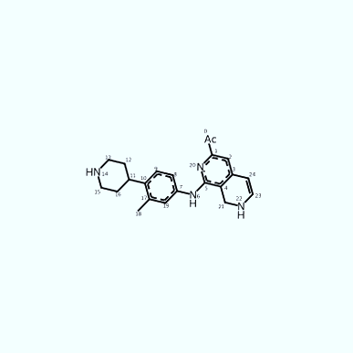 CC(=O)c1cc2c(c(Nc3ccc(C4CCNCC4)c(C)c3)n1)CNC=C2